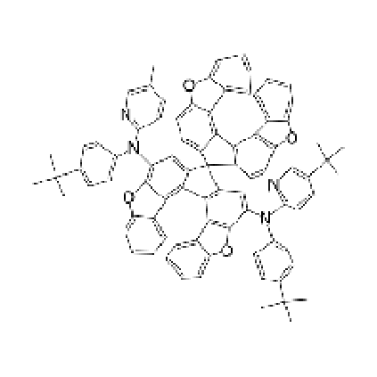 Cc1ccc(N(c2ccc(C(C)(C)C)cc2)c2cc3c(c4c2oc2ccccc24)-c2c(cc(N(c4ccc(C(C)(C)C)cc4)c4ccc(C(C)(C)C)cn4)c4oc5ccccc5c24)C32c3ccc4oc5ccccc5c4c3-c3c2ccc2oc4ccccc4c32)nc1